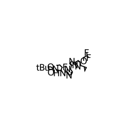 CC(C)(C)OC(=O)N1CC[C@H](F)[C@@H](Nc2nccc(-c3cnc4cc(OCC(F)F)c(C5CC5)nn34)n2)C1